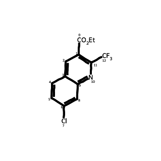 CCOC(=O)c1cc2ccc(Cl)cc2nc1C(F)(F)F